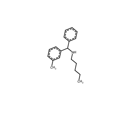 CCCCCNC(c1ccccc1)c1cccc(C)c1